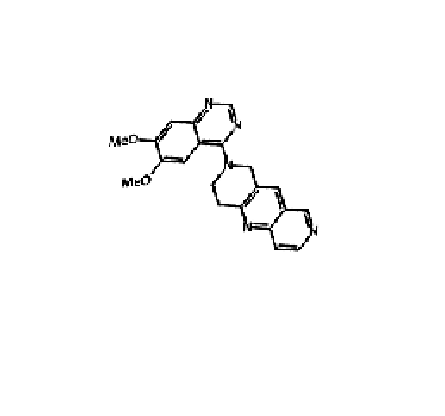 COc1cc2ncnc(N3CCc4nc5ccncc5cc4C3)c2cc1OC